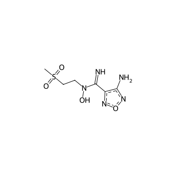 CS(=O)(=O)CCN(O)C(=N)c1nonc1N